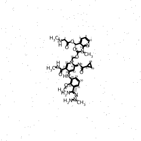 CNCC(=O)OCc1cccnc1N(C)C(=O)OCn1cc(C(=O)NC)c(Nc2cccc(/C(N)=N/N(C)N)c2OC)c/c1=N\C(=O)C1CC1